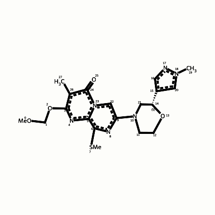 COCOc1nc2c(SC)nc(N3CCO[C@@H](c4cnn(C)c4)C3)cn2c(=O)c1C